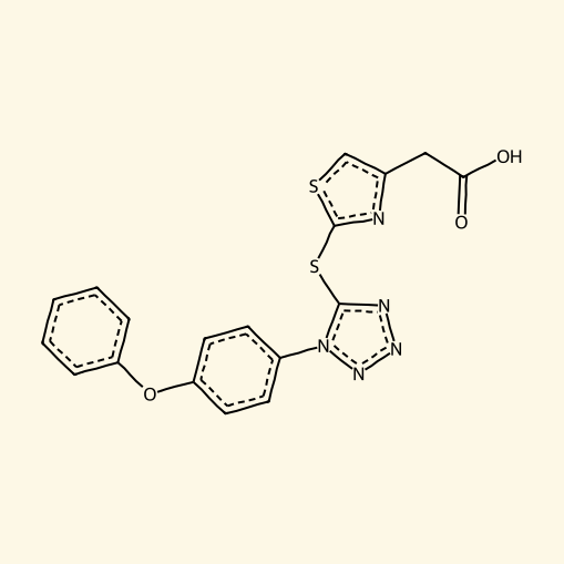 O=C(O)Cc1csc(Sc2nnnn2-c2ccc(Oc3ccccc3)cc2)n1